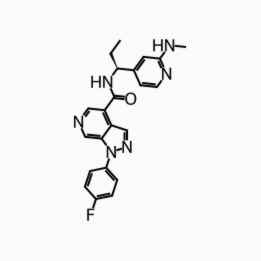 CC[C@H](NC(=O)c1cncc2c1cnn2-c1ccc(F)cc1)c1ccnc(NC)c1